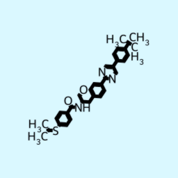 CC(C)Sc1ccc(C(=O)NC(C=O)Cc2ccc(-c3ncc(-c4ccc(C(C)(C)C)cc4)cn3)cc2)cc1